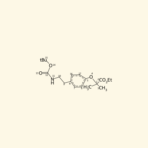 CCOC(=O)C(C)(C)Oc1ccc(CCNC(=O)OC(C)(C)C)cc1